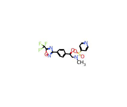 CN(CC(=O)c1ccc(-c2noc(C(F)(F)F)n2)cc1)S(=O)(=O)c1ccncc1